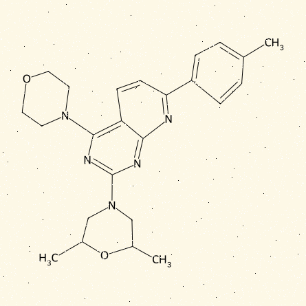 Cc1ccc(-c2ccc3c(N4CCOCC4)nc(N4CC(C)OC(C)C4)nc3n2)cc1